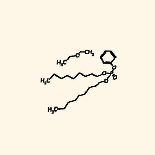 CCCCCCCCCOP(=O)(OCCCCCCCCC)Oc1ccccc1.CCOCC